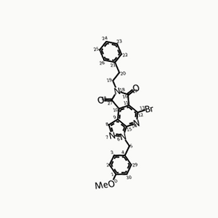 COc1ccc(Cn2ncc3c4c(c(Br)nc32)C(=O)N(CCc2ccccc2)C4=O)cc1